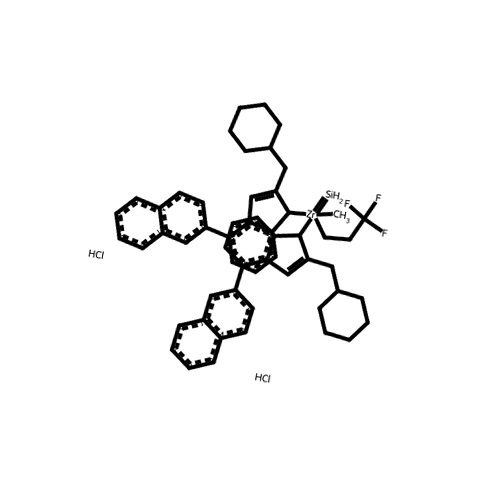 Cl.Cl.[CH3][Zr](=[SiH2])([CH2]CC(F)(F)F)([CH]1C(CC2CCCCC2)=Cc2c(-c3ccc4ccccc4c3)cccc21)[CH]1C(CC2CCCCC2)=Cc2c(-c3ccc4ccccc4c3)cccc21